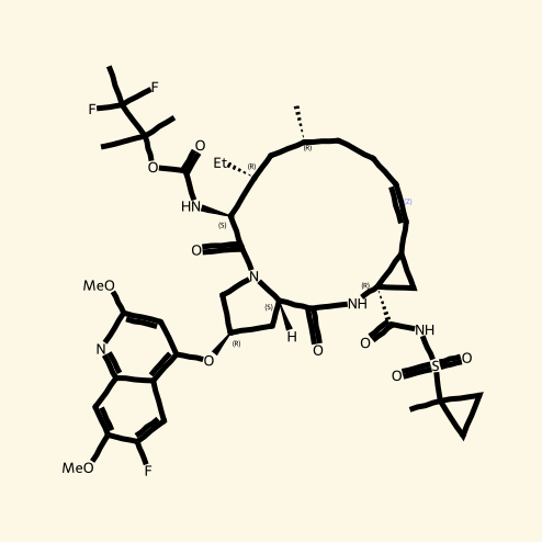 CC[C@@H]1C[C@H](C)CC/C=C\C2C[C@@]2(C(=O)NS(=O)(=O)C2(C)CC2)NC(=O)[C@@H]2C[C@@H](Oc3cc(OC)nc4cc(OC)c(F)cc34)CN2C(=O)[C@H]1NC(=O)OC(C)(C)C(C)(F)F